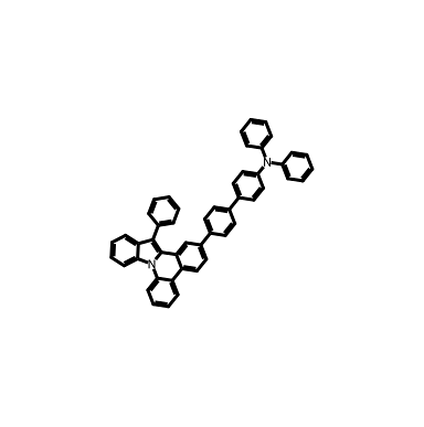 c1ccc(-c2c3ccccc3n3c4ccccc4c4ccc(-c5ccc(-c6ccc(N(c7ccccc7)c7ccccc7)cc6)cc5)cc4c23)cc1